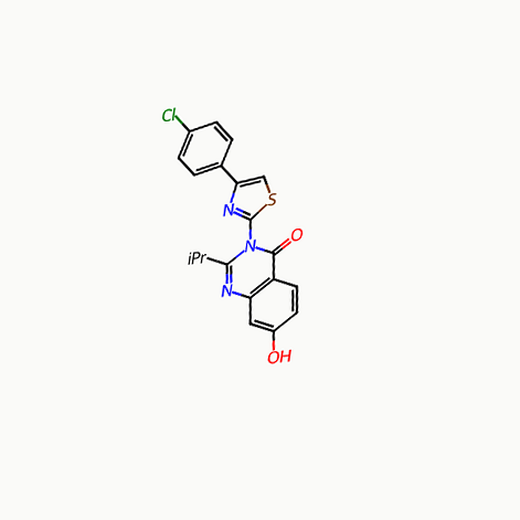 CC(C)c1nc2cc(O)ccc2c(=O)n1-c1nc(-c2ccc(Cl)cc2)cs1